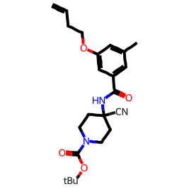 C=CCCOc1cc(C)cc(C(=O)NC2(C#N)CCN(C(=O)OC(C)(C)C)CC2)c1